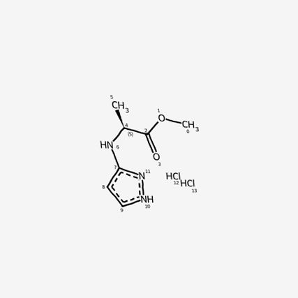 COC(=O)[C@H](C)Nc1cc[nH]n1.Cl.Cl